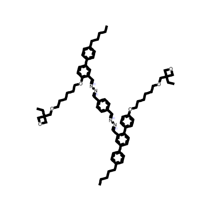 CCCCCc1ccc(-c2ccc(OCCCCCCOCC3(CC)COC3)c(/C=N/N=C/c3ccc(/C=N/N=C/c4cc(-c5ccc(CCCCC)cc5)ccc4-c4ccc(OCCCCCCOCC5(CC)COC5)cc4)cc3)c2)cc1